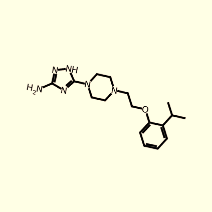 CC(C)c1ccccc1OCCN1CCN(c2nc(N)n[nH]2)CC1